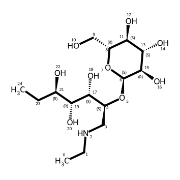 CCNC[C@H](O[C@H]1O[C@H](CO)[C@@H](O)[C@H](O)[C@H]1O)[C@@H](O)[C@H](O)[C@H](O)CC